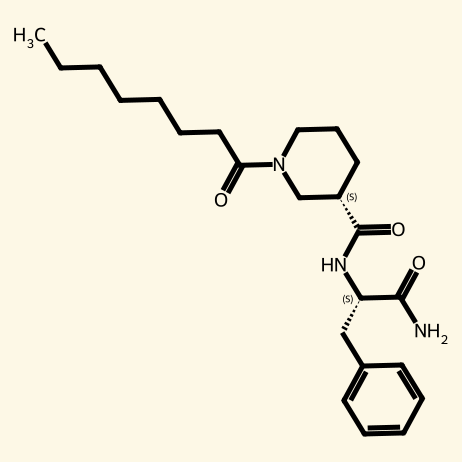 CCCCCCCC(=O)N1CCC[C@H](C(=O)N[C@@H](Cc2ccccc2)C(N)=O)C1